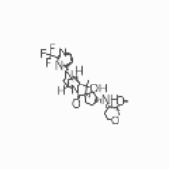 CO[C@@H]1COCC[C@@H]1N[C@@H]1CC[C@@]2(C1)C(=O)N1C([C@@H]3C[C@H]1CN3c1ccnc(C(F)(F)F)n1)C2(C)O